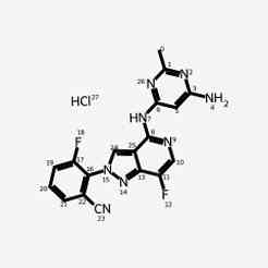 Cc1nc(N)cc(Nc2ncc(F)c3nn(-c4c(F)cccc4C#N)cc23)n1.Cl